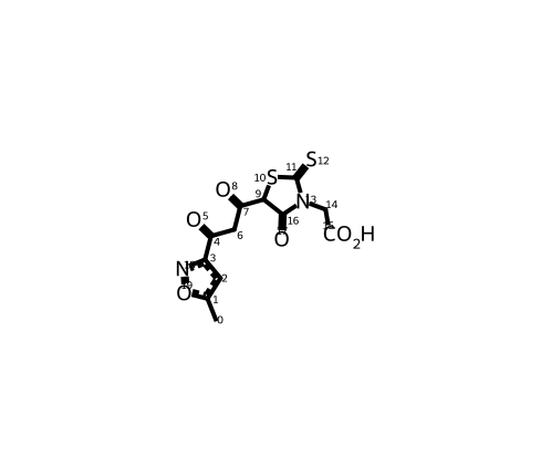 Cc1cc(C(=O)CC(=O)C2SC(=S)N(CC(=O)O)C2=O)no1